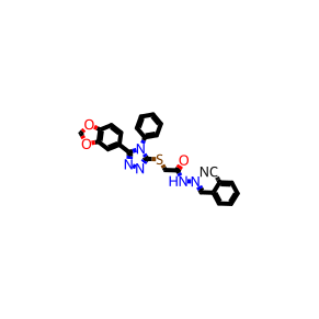 N#Cc1ccccc1/C=N/NC(=O)CSc1nnc(-c2ccc3c(c2)OCO3)n1-c1ccccc1